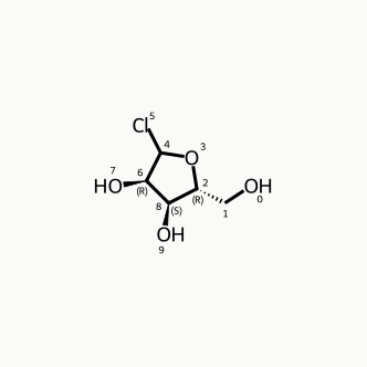 OC[C@H]1OC(Cl)[C@H](O)[C@@H]1O